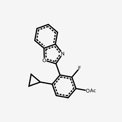 CC(=O)Oc1ccc(C2CC2)c(-c2nc3ccccc3o2)c1F